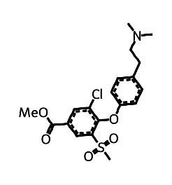 COC(=O)c1cc(Cl)c(Oc2ccc(CCN(C)C)cc2)c(S(C)(=O)=O)c1